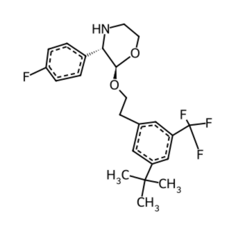 CC(C)(C)c1cc(CCO[C@@H]2OCCN[C@H]2c2ccc(F)cc2)cc(C(F)(F)F)c1